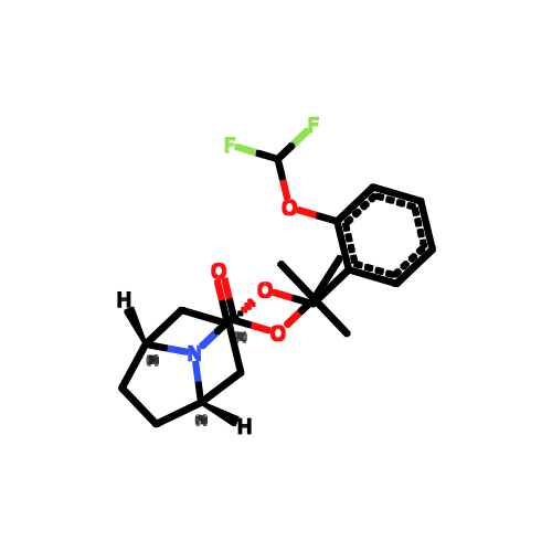 CC(C)(C)OC(=O)N1[C@@H]2CC[C@H]1C[C@@H](OCc1ccccc1OC(F)F)C2